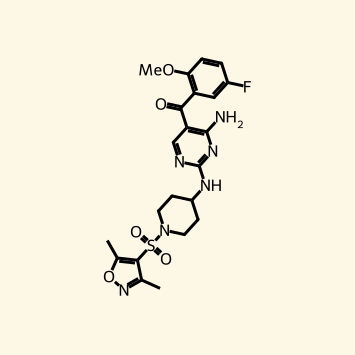 COc1ccc(F)cc1C(=O)c1cnc(NC2CCN(S(=O)(=O)c3c(C)noc3C)CC2)nc1N